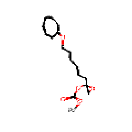 CC(C)OC(=O)OC1(CCCCCCOC2CCCCCC2)CO1